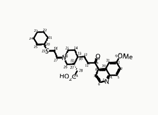 COc1ccc2nccc(C(=O)CC[C@@H]3CCN(CCSC4CCCCC4)C[C@H]3CC(=O)O)c2c1